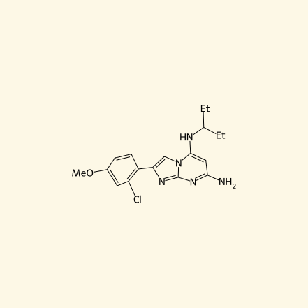 CCC(CC)Nc1cc(N)nc2nc(-c3ccc(OC)cc3Cl)cn12